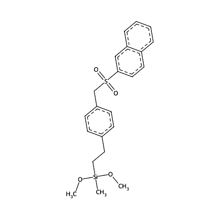 CO[Si](C)(CCc1ccc(CS(=O)(=O)c2ccc3ccccc3c2)cc1)OC